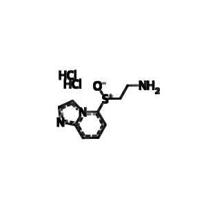 Cl.Cl.NCC[S+]([O-])c1cccc2nccn12